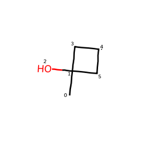 CC1(O)C[CH]C1